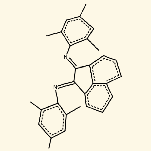 Cc1cc(C)c(/N=C2/C(=N/c3c(C)cc(C)cc3C)c3cccc4cccc2c34)c(C)c1